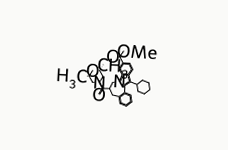 COC(=O)c1ccc2c(C3CCCCC3)c3n(c2c1)CC(C(=O)N1C[C@@H](C)O[C@@H](C)C1)Cc1ccccc1-3